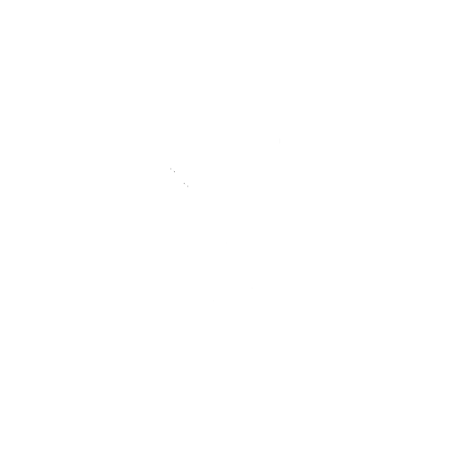 Cc1cnn(CCCc2cc3c(cc2C=Cc2ccc(C(=O)O)cc2)C(C)(C)CCC3(C)C)c1